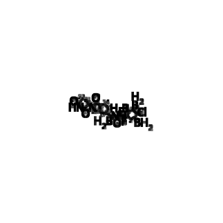 Bc1cc(C(F)(F)C(=O)NC(B)c2ccc3c(c2)CN(C2CCC(=O)NC2=O)C3=O)c(B)c(B)c1Cl